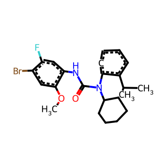 COc1cc(Br)c(F)cc1NC(=O)N(c1ccccc1C(C)C)C1CCCCC1